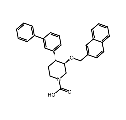 O=C(O)N1CC[C@H](c2cccc(-c3ccccc3)c2)[C@@H](OCc2ccc3ccccc3c2)C1